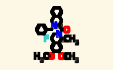 COc1cc2c(cc1OC)[C@H](C)N(C(=O)[C@@H]1Cc3ccccc3CN1Cc1ccccc1F)CC2